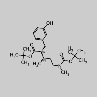 C[C@H](CCN(C)C(=O)OC(C)(C)C)[C@H](Cc1cccc(O)c1)C(=O)OC(C)(C)C